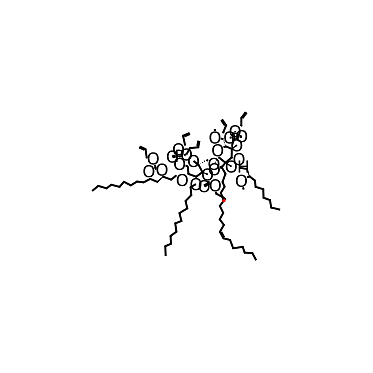 C=CCOC(=O)O[C@H](CCCCCCCCCCC)CCO[C@H]1C(OP(=O)(OCC=C)OCC=C)O[C@H](CO[C@@H]2O[C@H](COC)[C@@H](OP(=O)(OCC=C)OCC=C)[C@H](OCC[C@@H](CCCCCCC)OC)[C@]2(O)C(=O)CCCCCCCCC/C=C\CCCCCC)[C@@H](OC(=O)OCC=C)[C@@H]1OCCCCCCCCCCCC